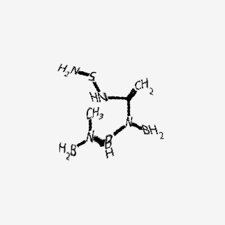 BN(C)BN(B)C(=C)NSN